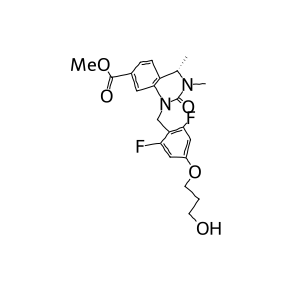 COC(=O)c1ccc2c(c1)N(Cc1c(F)cc(OCCCO)cc1F)C(=O)N(C)[C@H]2C